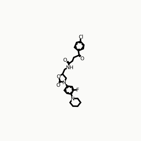 O=C(CCC(=O)c1ccc(Cl)cc1)NCC1CN(c2ccc(N3CCCCC3)c(F)c2)C(=O)O1